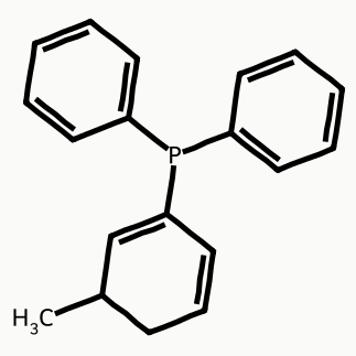 CC1C=C(P(c2ccccc2)c2ccccc2)C=CC1